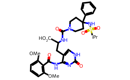 COc1cccc(OC)c1C(=O)Nc1nc(=O)[nH]cc1CC(NC(=O)N1CCC(NS(=O)(=O)C(C)C)(c2ccccc2)CC1)C(=O)O